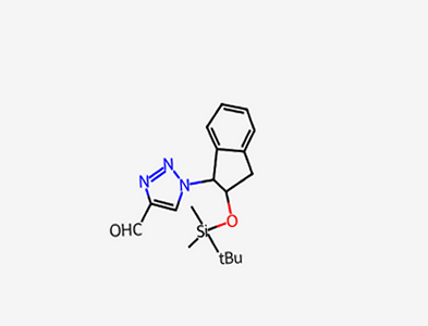 CC(C)(C)[Si](C)(C)OC1Cc2ccccc2C1n1cc(C=O)nn1